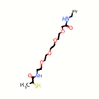 CC(C)CNC(=O)COCCOCCOCCOCCNC(=O)C(C)S